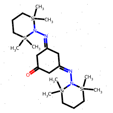 C[Si]1(C)CCC[Si](C)(C)N1N=C1CC(=O)CC(=NN2[Si](C)(C)CCC[Si]2(C)C)C1